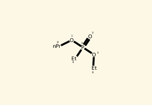 CCCOP(=O)(CC)OCC